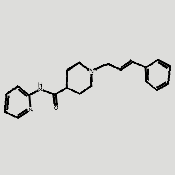 O=C(Nc1ccccn1)C1CCN(CC=Cc2ccccc2)CC1